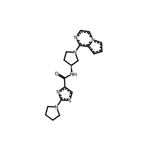 O=C(N[C@H]1CCN(c2nccn3cccc23)C1)c1csc(N2CCCC2)n1